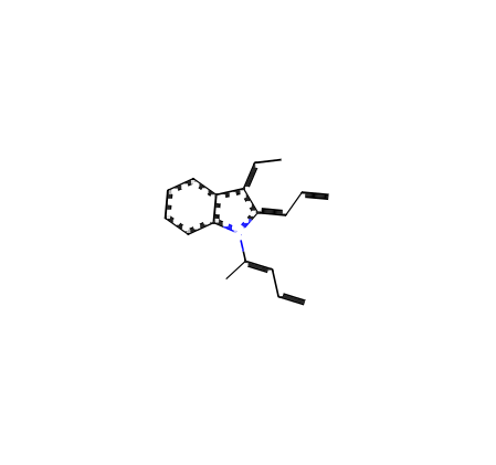 C=C/C=C(\C)n1c(=C/C=C)/c(=C\C)c2ccccc21